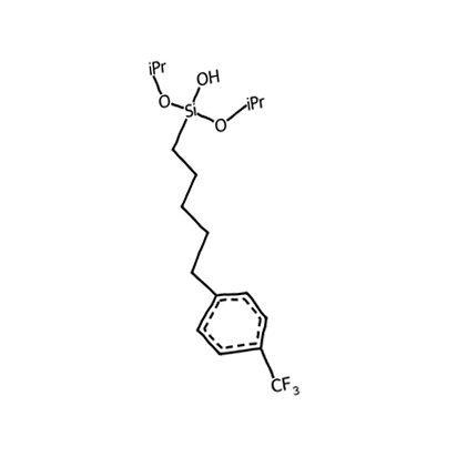 CC(C)O[Si](O)(CCCCCc1ccc(C(F)(F)F)cc1)OC(C)C